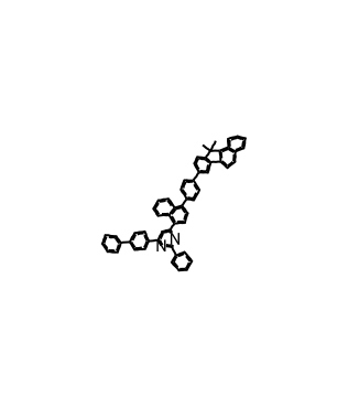 CC1(C)c2ccc(-c3ccc(-c4ccc(-c5cc(-c6ccc(-c7ccccc7)cc6)nc(-c6ccccc6)n5)c5ccccc45)cc3)cc2-c2ccc3ccccc3c21